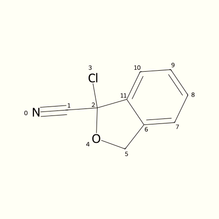 N#CC1(Cl)OCc2ccccc21